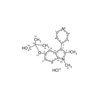 Cc1c(-c2ccncc2)c2cc(OC(C)(C)C(=O)O)ccc2n1C.Cl